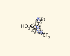 CCc1cc(-c2ccn3c(C(C)N4CCN(CC(F)(F)F)CC4)c(C)c(C(=O)O)cc23)ccn1